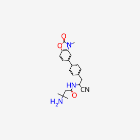 Cn1c(=O)oc2ccc(-c3ccc(C[C@@H](C#N)NC(=O)CC(C)(C)N)cc3)cc21